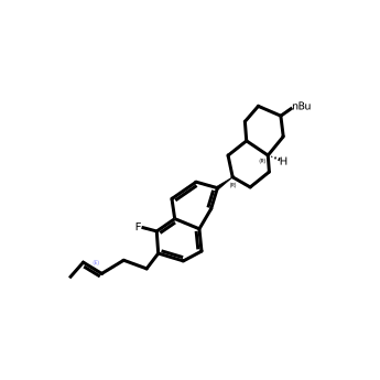 C/C=C/CCc1ccc2cc([C@@H]3CC[C@@H]4CC(CCCC)CCC4C3)ccc2c1F